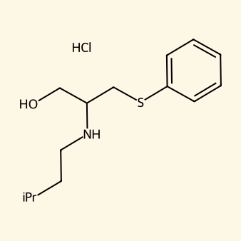 CC(C)CCNC(CO)CSc1ccccc1.Cl